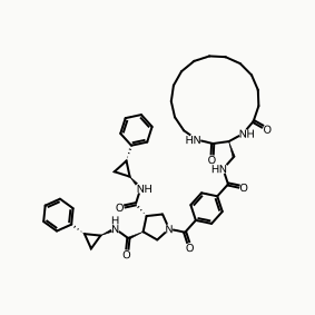 O=C1CCCCCCCCCCCCNC(=O)[C@H](CNC(=O)c2ccc(C(=O)N3C[C@@H](C(=O)N[C@H]4C[C@@H]4c4ccccc4)[C@H](C(=O)N[C@H]4C[C@@H]4c4ccccc4)C3)cc2)N1